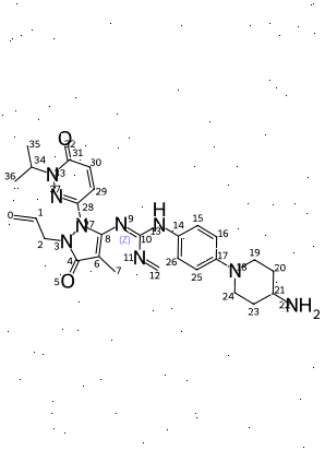 C=CCn1c(=O)c(C)c(/N=C(\N=C)Nc2ccc(N3CCC(N)CC3)cc2)n1-c1ccc(=O)n(C(C)C)n1